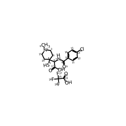 CN1CCC(S)(C(NC(=O)c2ccc(Cl)cc2)C(=O)O)CC1.O=C(O)C(F)(F)F